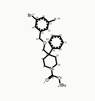 CC(C)(C)OC(=O)N1CCC(COCc2cc(F)cc(Br)c2)(c2ccccc2)CC1